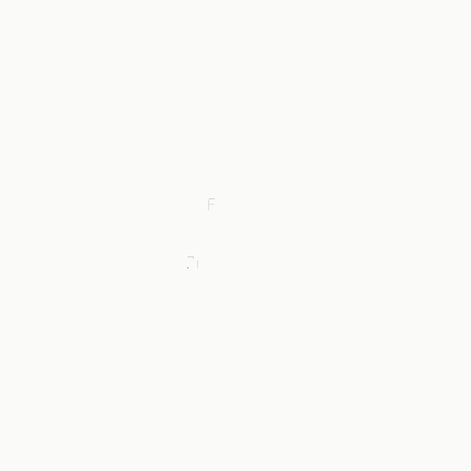 Fc1cccc[c]1[Zn]